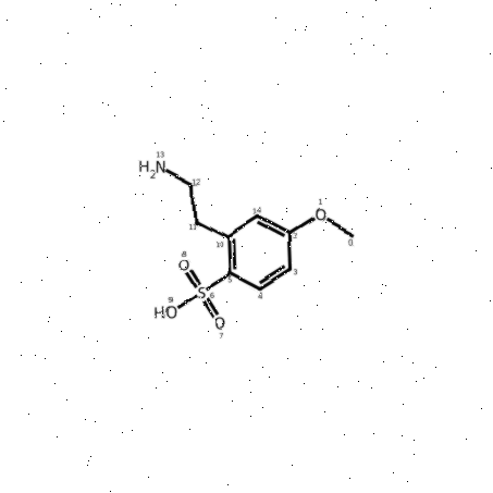 COc1ccc(S(=O)(=O)O)c(CCN)c1